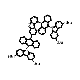 CC(C)(C)c1ccc2c(c1)c1cc(C(C)(C)C)ccc1n2-c1c2ccccc2c(-c2ccc3c(c2)sc2cccc(-c4c5ccccc5c(-n5c6ccc(C(C)(C)C)cc6c6cc(C(C)(C)C)ccc65)c5ccccc45)c23)c2ccccc12